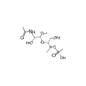 COC(OC(CO)N(C)OP(C)(=O)O)C(O)NC(C)=O